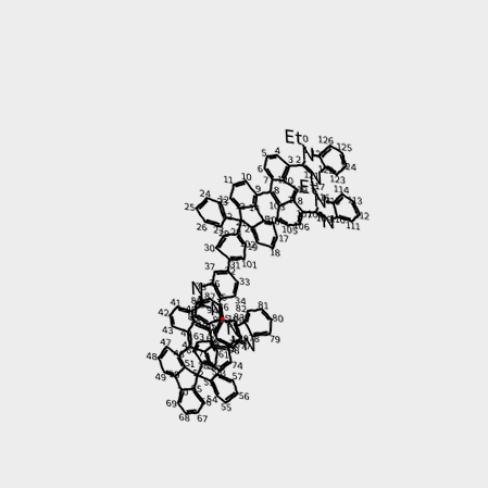 CCn1c(-c2cccc3c(-c4cccc5c4-c4ccccc4C5(c4ccccc4)c4ccc(-c5ccc6c(c5)nc(-c5cccc7c(-c8cccc9c8C(c8ccccc8)(c8ccccc8)c8ccccc8-9)c8cccc(-c9nc%10ccccc%10n9-c9ccccc9)c8cc57)n6-c5ccccc5)cc4)c4cccc(-c5nc6ccccc6n5CC)c4cc23)nc2ccccc21